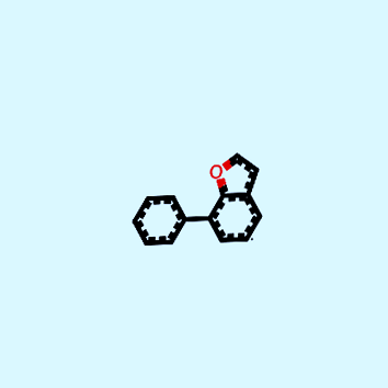 [c]1cc(-c2ccccc2)c2occc2c1